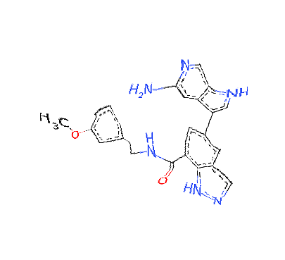 COc1cccc(CNC(=O)c2cc(-c3c[nH]c4cnc(N)cc34)cc3cn[nH]c23)c1